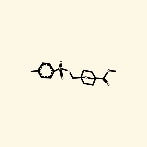 COC(=O)C12CCC(COS(=O)(=O)c3ccc(C)cc3)(CC1)CC2